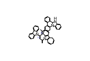 C=C(/C=C(\C=C(/C)C1=CC2=C(CC1)N1c3ccccc3NC1c1ccccc12)n1c2ccccc2c2ccccc21)n1c2c(c3c1CCC=C3)CC=CC=C2